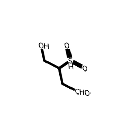 O=[C]CC(CO)[SH](=O)=O